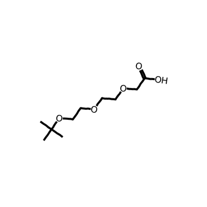 CC(C)(C)OCCOCCOCC(=O)O